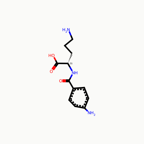 NCCC[C@H](NC(=O)c1ccc(N)cc1)C(=O)O